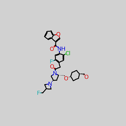 O=C[C@H]1CC[C@H](OC[C@@H]2C[C@H](N3CC(CF)C3)CN2C(=O)Cc2cc(Cl)c(NC(=O)c3coc4ccccc34)cc2F)CC1